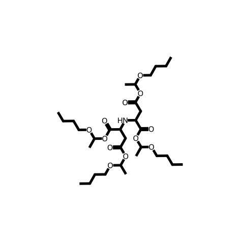 CCCCOC(C)OC(=O)CC(NC(CC(=O)OC(C)OCCCC)C(=O)OC(C)OCCCC)C(=O)OC(C)OCCCC